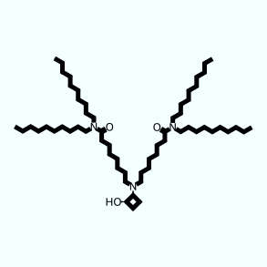 CCCCCCCCCCN(CCCCCCCCCC)C(=O)CCCCCCCN(CCCCCCCC(=O)N(CCCCCCCCCC)CCCCCCCCCC)[C@@H]1CC[C@@H]1O